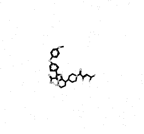 COc1ccc(Oc2ccc(-c3nc4n(c3C(N)=O)NCCC4C3CCN(C(=O)C(F)=CC(F)F)CC3)cc2)cc1